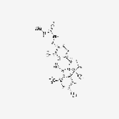 CC(C)(C)OC(=O)NCc1ccc(N2CCC(c3cc(C(F)(F)F)cc(C(F)(F)F)c3)(C(F)(F)F)C2CO)cc1Cl